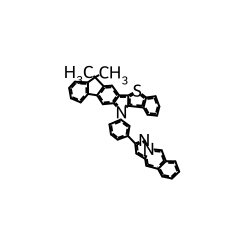 CC1(C)c2ccccc2-c2cc3c(cc21)c1sc2ccccc2c1n3-c1cccc(-c2cc3cc4ccccc4cn3n2)c1